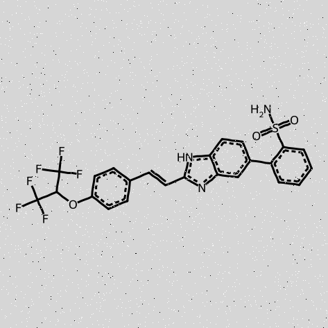 NS(=O)(=O)c1ccccc1-c1ccc2[nH]c(/C=C/c3ccc(OC(C(F)(F)F)C(F)(F)F)cc3)nc2c1